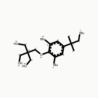 CC(C)(C)CC(C)(C)c1cc(C(C)(C)C)c(OCC(CO)(CO)CO)c(C(C)(C)C)c1